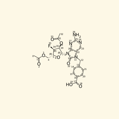 CC(=O)OC[C@H]1O[C@@H](n2c(=O)n(Cc3ccc(C(=O)O)cc3)c3cnc(N)nc32)[C@H](OC(C)=O)[C@@H]1F